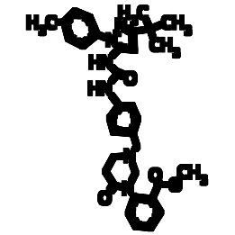 COC(=O)c1ccccc1N1CN(Cc2ccc(NC(=O)Nc3cc(C(C)(C)C)nn3-c3ccc(C)cc3)cc2)CCC1=O